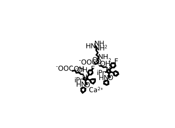 CC(C)c1c(C(=O)Nc2ccccc2)c(-c2ccccc2)c(-c2ccc(F)cc2)n1CC[C@@H](O)C[C@@H](O)CC(=O)[O-].CC(C)c1c(C(=O)Nc2ccccc2)c(-c2ccccc2)c(-c2ccc(F)cc2)n1CC[C@@H](O)C[C@H](CC(=O)[O-])OC(=O)[C@@H](N)CCCNC(=N)N.[Ca+2]